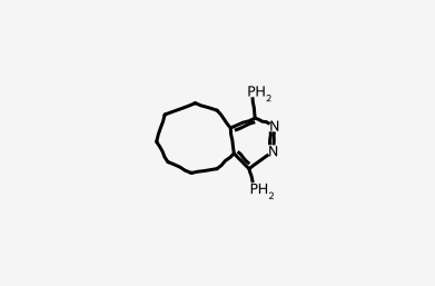 Pc1nnc(P)c2c1CCCCCCC2